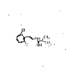 CC(C)C(=N)N/C=C/c1c(Cl)cccc1Cl